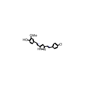 COc1cc(/C=C/c2cc(/C=C/c3ccc(Cl)cc3)n[nH]2)ccc1O